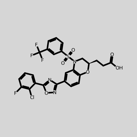 O=C(O)CC[C@@H]1CN(S(=O)(=O)c2cccc(C(F)(F)F)c2)c2cc(-c3noc(-c4cccc(F)c4Cl)n3)ccc2O1